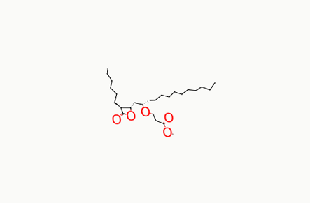 CCCCCCCCCCC[C@@H](C[C@@H]1OC(=O)[C@H]1CCCCCC)OCCC(=O)OC